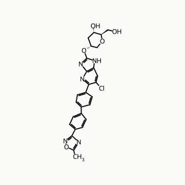 Cc1nc(-c2ccc(-c3ccc(-c4nc5nc(O[C@H]6CO[C@H](CO)[C@@H](O)C6)[nH]c5cc4Cl)cc3)cc2)no1